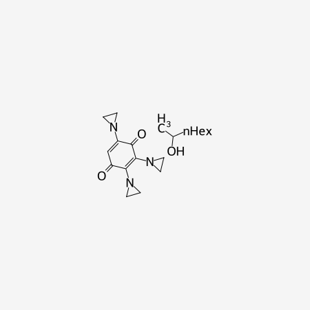 CCCCCCC(C)O.O=C1C=C(N2CC2)C(=O)C(N2CC2)=C1N1CC1